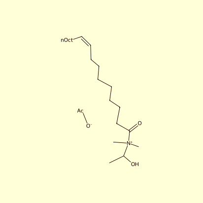 CC(=O)[O-].CCCCCCCC/C=C\CCCCCCCC(=O)[N+](C)(C)C(C)O